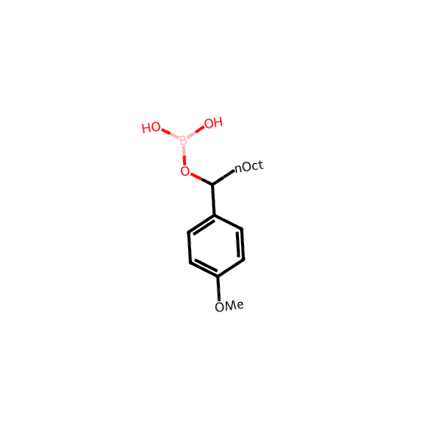 CCCCCCCCC(OB(O)O)c1ccc(OC)cc1